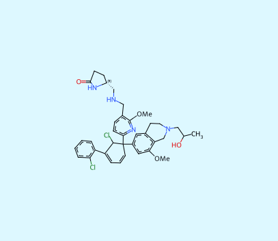 COc1cc(C2(c3ccc(CNC[C@H]4CCC(=O)N4)c(OC)n3)C=CC=C(c3ccccc3Cl)C2Cl)cc2c1CN(CC(C)O)CC2